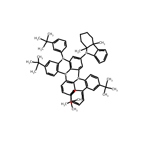 CC(C)(C)c1cccc(N2c3cc(C(C)(C)C)ccc3B3c4ccc(C(C)(C)C)cc4N(c4ccc(C(C)(C)C)cc4-c4ccccc4)c4cc(N5c6ccccc6C6(C)CCCCC56C)cc2c43)c1